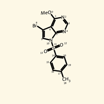 COc1ncnc2c1c(Br)cn2S(=O)(=O)c1ccc(C)cc1